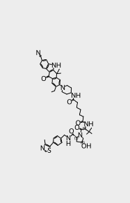 CCc1cc2c(cc1N1CCC(NC(=O)CCCCCC(=O)N[C@H](C(=O)N3C[C@H](O)C[C@H]3C(=O)NCc3ccc(-c4scnc4C)cc3)C(C)(C)C)CC1)C(C)(C)c1[nH]c3cc(C#N)ccc3c1C2=O